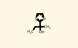 CCC(C)(O)c1nccs1